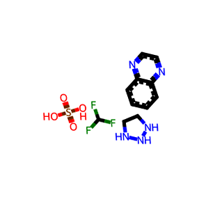 C1CNNN1.FC(F)F.O=S(=O)(O)O.c1ccc2nccnc2c1